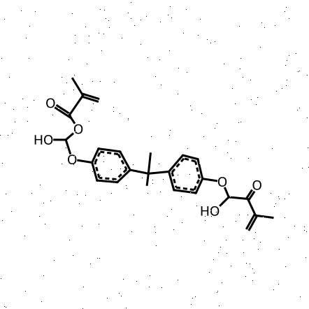 C=C(C)C(=O)OC(O)Oc1ccc(C(C)(C)c2ccc(OC(O)C(=O)C(=C)C)cc2)cc1